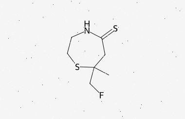 CC1(CF)CC(=S)NCCS1